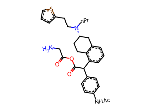 CCCN(CCc1cccs1)[C@H]1CCc2c(cccc2C(C(=O)OC(=O)CN)c2ccc(NC(C)=O)cc2)C1